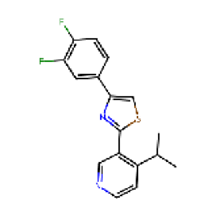 CC(C)c1ccncc1-c1nc(-c2ccc(F)c(F)c2)cs1